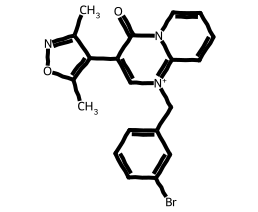 Cc1noc(C)c1-c1c[n+](Cc2cccc(Br)c2)c2ccccn2c1=O